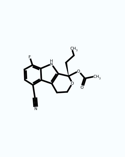 CCC[C@@]1(OC(C)=O)OCCc2c1[nH]c1c(F)ccc(C#N)c21